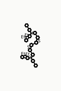 CCC1(CC)c2ccccc2-c2ccc(N(c3ccc(-c4ccccc4)cc3)c3cccc(-c4ccc5sc6ccc(-c7ccc8sc9ccc(-c%10cccc(N(c%11ccc(-c%12ccccc%12)cc%11)c%11ccc%12c(c%11)C(CC)(CC)c%11ccccc%11-%12)c%10)cc9c8c7)cc6c5c4)c3)cc21